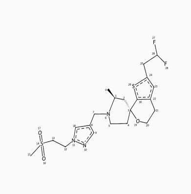 C[C@H]1C[C@@]2(CCN1Cc1cnn(CCS(C)(=O)=O)c1)OCCc1cc(CC(F)F)sc12